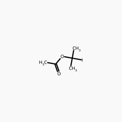 CC(=O)OC(C)(C)I